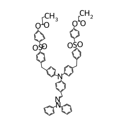 C=CC(=O)Oc1ccc(S(=O)(=O)c2ccc(Cc3ccc(N(c4ccc(C=NN(c5ccccc5)c5ccccc5)cc4)c4ccc(Cc5ccc(S(=O)(=O)c6ccc(OC(=O)CC)cc6)cc5)cc4)cc3)cc2)cc1